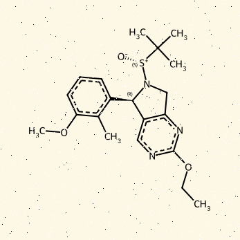 CCOc1ncc2c(n1)CN([S@+]([O-])C(C)(C)C)[C@@H]2c1cccc(OC)c1C